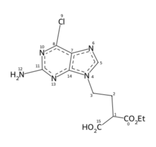 CCOC(=O)C(CCn1cnc2c(Cl)nc(N)nc21)C(=O)O